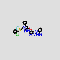 Cc1c(C(=O)N[C@H]2CC[C@@H](Nc3nc(N(C)C)c4ccccc4n3)CC2)cc(-c2ccccc2)n1CCSCc1c(F)cccc1Cl